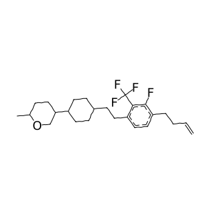 C=CCCc1ccc(CCC2CCC(C3CCC(C)OC3)CC2)c(C(F)(F)F)c1F